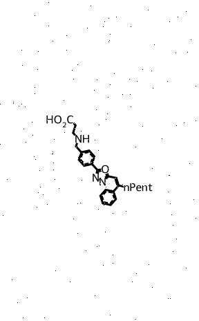 CCCCCC(=Cc1nnc(-c2ccc(CNCCC(=O)O)cc2)o1)c1ccccc1